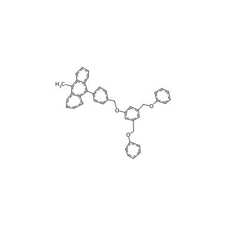 Cc1c2ccccc2c(-c2ccc(COc3cc(COc4ccccc4)cc(COc4ccccc4)c3)cc2)c2ccccc12